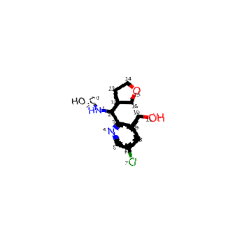 O=C(O)NC(c1ncc(Cl)cc1CO)C1CCOC1